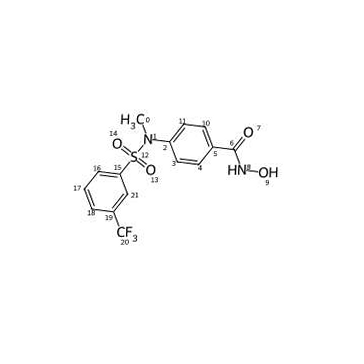 CN(c1ccc(C(=O)NO)cc1)S(=O)(=O)c1cccc(C(F)(F)F)c1